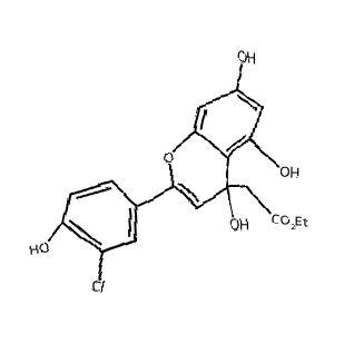 CCOC(=O)CC1(O)C=C(c2ccc(O)c(Cl)c2)Oc2cc(O)cc(O)c21